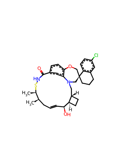 C[C@@H]1C/C=C/[C@H](O)[C@@H]2CC[C@H]2CN2C[C@@]3(CCCc4cc(Cl)ccc43)COc3ccc(cc32)C(=O)NS[C@@H]1C